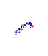 COC(=O)N[C@H](C(=O)N1CCC[C@H]1c1ncc(-c2cc3c4c(c2)OCc2cc(-c5cnc([C@@H]6CCCN6C[C@@H](NC(=O)OC)C(C)C)[nH]5)cc(c2-4)CC3)[nH]1)C(C)C